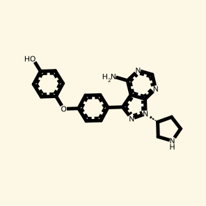 Nc1ncnc2c1c(-c1ccc(Oc3ccc(O)cc3)cc1)nn2[C@@H]1CCNC1